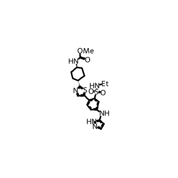 CCNS(=O)(=O)c1cc(Nc2ccn[nH]2)ccc1-c1cnc([C@H]2CC[C@H](NC(=O)OC)CC2)s1